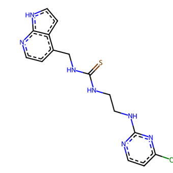 S=C(NCCNc1nccc(Cl)n1)NCc1ccnc2[nH]ccc12